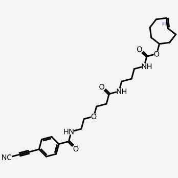 N#CC#Cc1ccc(C(=O)NCCOCCC(=O)NCCCNC(=O)OC2CC/C=C/CCC2)cc1